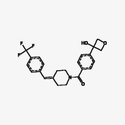 O=C(c1ccc(C2(O)COC2)cc1)N1CCC(=Cc2ccc(C(F)(F)F)cc2)CC1